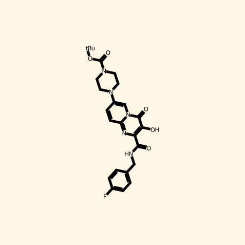 CC(C)(C)OC(=O)N1CCN(c2ccc3nc(C(=O)NCc4ccc(F)cc4)c(O)c(=O)n3c2)CC1